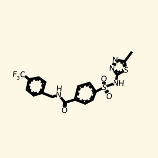 Cc1nnc(NS(=O)(=O)c2ccc(C(=O)NCc3ccc(C(F)(F)F)cc3)cc2)s1